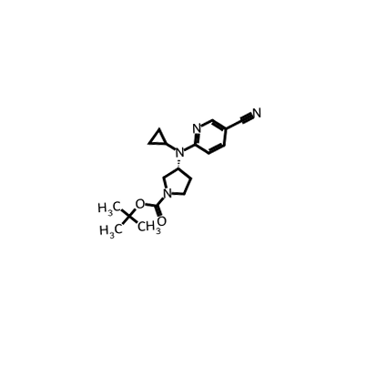 CC(C)(C)OC(=O)N1CC[C@@H](N(c2ccc(C#N)cn2)C2CC2)C1